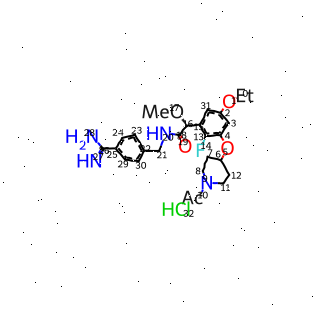 CCOc1cc(OC2CCN(C(C)=O)CC2)c(F)c([C@H](OC)C(=O)NCc2ccc(C(=N)N)cc2)c1.Cl